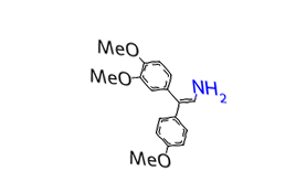 COc1ccc(C(=CN)c2ccc(OC)c(OC)c2)cc1